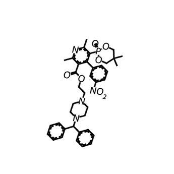 Cc1nc(C)c(P2(=O)OCC(C)(C)CO2)c(-c2cccc([N+](=O)[O-])c2)c1C(=O)OCCN1CCN(C(c2ccccc2)c2ccccc2)CC1